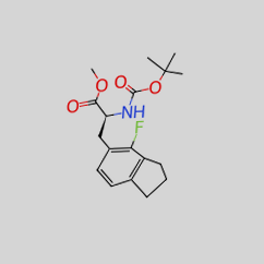 COC(=O)[C@H](Cc1ccc2c(c1F)CCC2)NC(=O)OC(C)(C)C